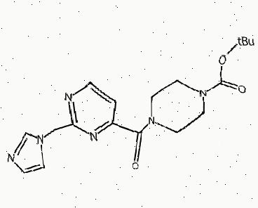 CC(C)(C)OC(=O)N1CCN(C(=O)c2ccnc(-n3ccnc3)n2)CC1